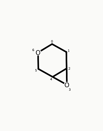 C1CC2OC2CO1